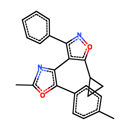 Cc1ccc(-c2oc(C)nc2-c2c(-c3ccccc3)noc2C2CC2)cc1